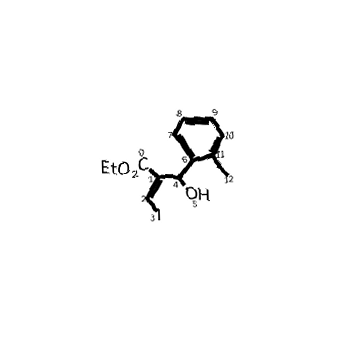 CCOC(=O)/C(=C/I)C(O)c1ccccc1C